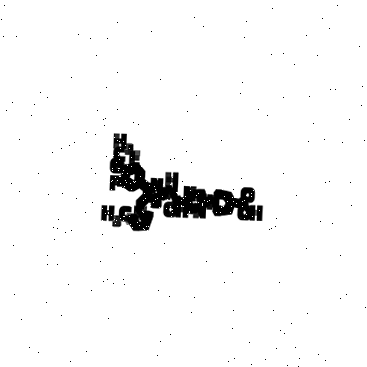 COc1c(F)cc(-c2nc(NC(O)c3cnc(N4CCC(C(=O)O)CC4)cn3)sc2CN2CCC[C@H]2C)cc1F